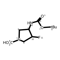 CC(C)(C)OC(=O)NC1CN(C(=O)O)CC1F